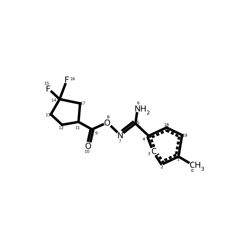 Cc1ccc(/C(N)=N/OC(=O)C2CCC(F)(F)C2)cc1